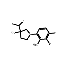 COc1c(N2CCC(C)(C(F)F)C2)ccc(F)c1F